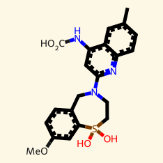 COc1ccc2c(c1)S(O)(O)CCN(c1cc(NC(=O)O)c3cc(C)ccc3n1)C2